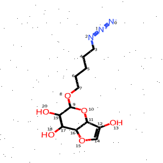 [N-]=[N+]=NCCCCCOC1OC2C(O)=COC2C(O)C1O